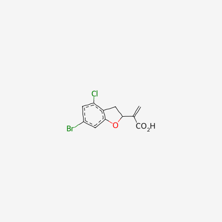 C=C(C(=O)O)C1Cc2c(Cl)cc(Br)cc2O1